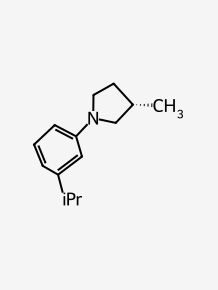 CC(C)c1cccc(N2CC[C@H](C)C2)c1